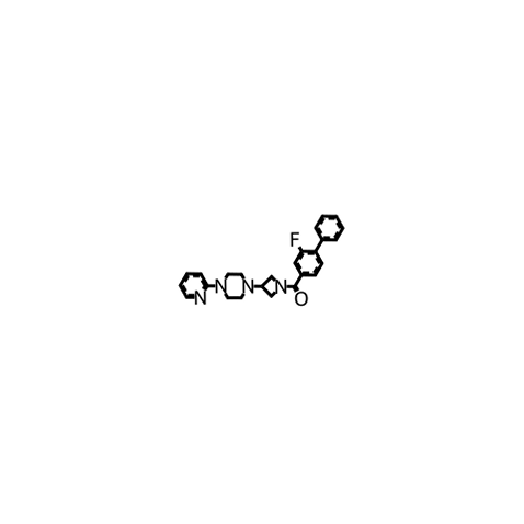 O=C(c1ccc(-c2ccccc2)c(F)c1)N1CC(N2CCN(c3ccccn3)CC2)C1